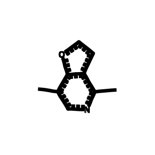 Cc1ncc(C)c2occc12